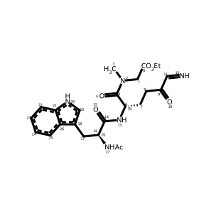 CCOC(=O)CN(C)C(=O)[C@H](CCC(=O)C=N)NC(=O)[C@H](Cc1c[nH]c2ccccc12)NC(C)=O